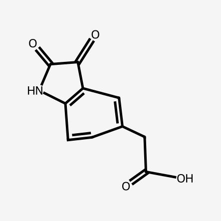 O=C(O)Cc1ccc2c(c1)C(=O)C(=O)N2